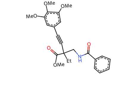 CCC(C#Cc1cc(OC)c(OC)c(OC)c1)(CNC(=O)c1ccccc1)C(=O)OC